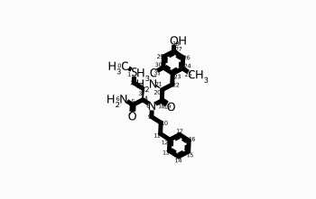 CSCC[C@H](C(N)=O)N(CCCc1ccccc1)C(=O)[C@H](N)Cc1c(C)cc(O)cc1C